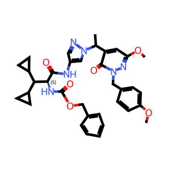 COc1ccc(Cn2nc(OC)cc(C(C)n3cc(NC(=O)[C@@H](NC(=O)OCc4ccccc4)C(C4CC4)C4CC4)cn3)c2=O)cc1